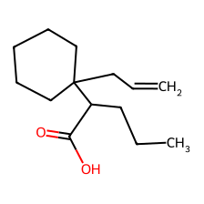 C=CCC1(C(CCC)C(=O)O)CCCCC1